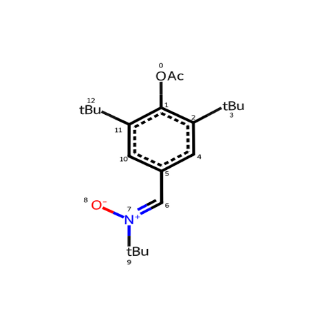 CC(=O)Oc1c(C(C)(C)C)cc(C=[N+]([O-])C(C)(C)C)cc1C(C)(C)C